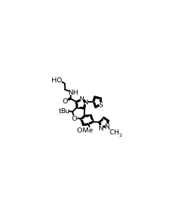 COc1cc2c(cc1-c1ccn(C)n1)-c1c(c(C(=O)NCCO)nn1-c1ccsc1)C(C(C)(C)C)O2